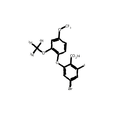 [2H]C([2H])([2H])Oc1cc(OC(F)(F)F)ccc1Oc1cc(Br)cc(F)c1C(=O)O